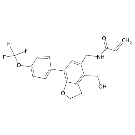 C=CC(=O)NCc1cc(-c2ccc(OC(F)(F)F)cc2)c2c(c1CO)CCO2